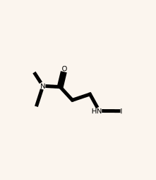 CN(C)C(=O)CCNI